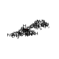 COc1cc(CN2CCN([C@H]3CC4(CCN(c5ccc(C(=O)NS(=O)(=O)c6ccc(NCC7CCC(C)(O)CC7)c([N+](=O)[O-])c6)c(N6c7cc8cc[nH]c8nc7O[C@H]7COCC[C@@H]76)c5)CC4)[C@H]3C)[C@H](c3ccccc3C)C2)cnc1N1CCOCC1